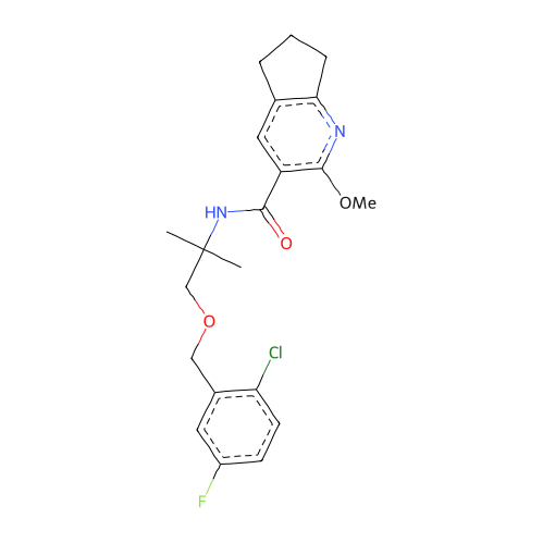 COc1nc2c(cc1C(=O)NC(C)(C)COCc1cc(F)ccc1Cl)CCC2